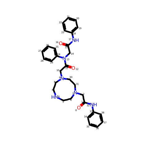 O=C(CN1CCNCCN(CC(=O)N(CC(=O)Nc2ccccc2)c2ccccc2)CC1)Nc1ccccc1